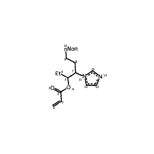 C=CC(=O)OC(CC)C(CCCCCCCCCCC)n1ccnc1